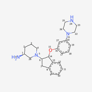 N[C@H]1CCCN(C2Cc3ccccc3C2Oc2cccc(N3CCNCC3)c2)C1